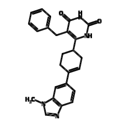 Cn1cnc2ccc(C3=CCC(c4[nH]c(=O)[nH]c(=O)c4Cc4ccccc4)CC3)cc21